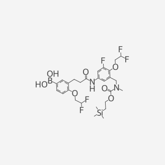 CN(Cc1cc(NC(=O)CCc2cc(B(O)O)ccc2OCC(F)F)cc(F)c1OCC(F)F)C(=O)OCC[Si](C)(C)C